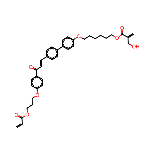 C=CC(=O)OCCCOc1ccc(C(=O)/C=C/c2ccc(-c3ccc(OCCCCCCOC(=O)C(=C)CO)cc3)cc2)cc1